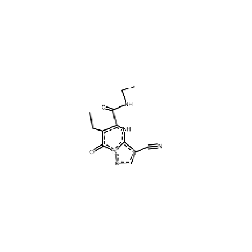 CCNC(=O)c1[nH]c2c(C#N)cnn2c(=O)c1CC